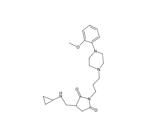 COc1ccccc1N1CCN(CCCN2C(=O)CC(CNC3CC3)C2=O)CC1